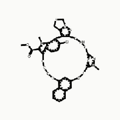 COC(=O)c1c2c3ccc(Cl)c(c3n1C)-c1c(nn3c1CSC3)CNCc1cc(n(C)n1)CSc1cc(c3ccccc3c1)OCCC2